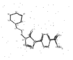 NC(=O)c1ccc(-n2nnn(CCCC3CCCCC3)c2=O)cc1